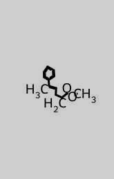 C=C(CC=C(C)c1ccccc1)C(=O)OC